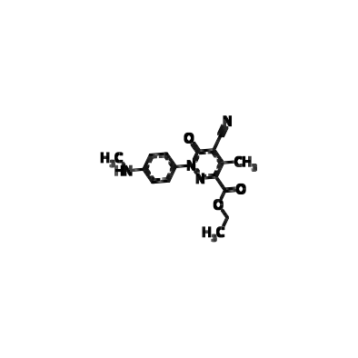 CCOC(=O)c1nn(-c2ccc(NC)cc2)c(=O)c(C#N)c1C